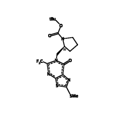 CSc1nc2c(=O)n(C[C@@H]3CCCN3C(=O)OC(C)(C)C)c(C(F)(F)F)nc2s1